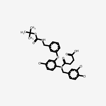 CC(C)(C)OC(=O)NCc1cccc(Oc2cc(Cl)ccc2N(Cc2ccc(Cl)c(Cl)c2)C(=O)CCC(=O)O)c1